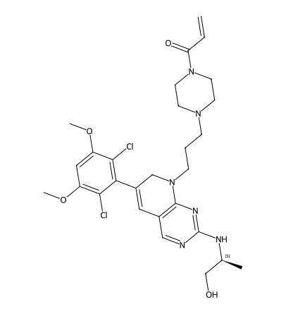 C=CC(=O)N1CCN(CCCN2CC(c3c(Cl)c(OC)cc(OC)c3Cl)=Cc3cnc(N[C@@H](C)CO)nc32)CC1